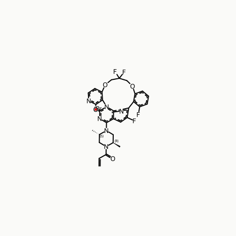 C=CC(=O)N1C[C@H](C)N(c2nc(=O)n3c4nc(c(F)cc24)-c2c(F)cccc2OCC(F)(F)COc2ccnc(C(C)C)c2-3)C[C@H]1C